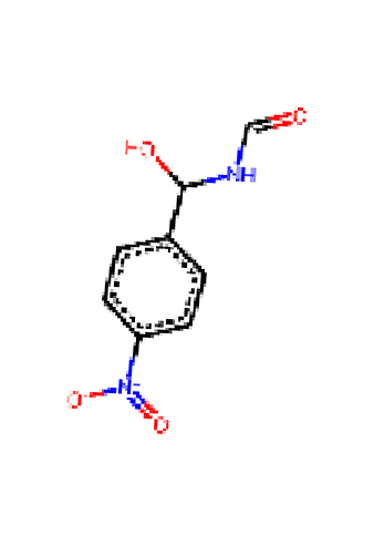 O=CNC(O)c1ccc([N+](=O)[O-])cc1